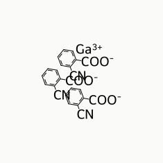 N#Cc1ccccc1C(=O)[O-].N#Cc1ccccc1C(=O)[O-].N#Cc1ccccc1C(=O)[O-].[Ga+3]